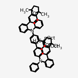 CCCCCCCCc1c(CCCCCCCC)c2cc(N(c3ccccc3)c3ccccc3-c3ccc4c(c3)C3(C)CCC4(C)O3)ccc2c2ccc(N(c3ccccc3)c3ccccc3-c3ccc4c(c3)C3(C)CCC4(C)O3)cc12